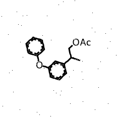 CC(=O)OCC(C)c1cccc(Oc2ccccc2)c1